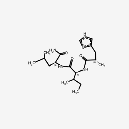 CCC(C)[C@H](NC(=O)[C@@H](C)Cc1c[nH]cn1)C(=O)N[C@@H](CC(C)C)C(N)=O